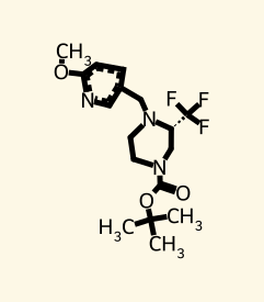 COc1ccc(CN2CCN(C(=O)OC(C)(C)C)C[C@H]2C(F)(F)F)cn1